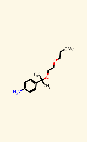 COCCOCCOC(C)(c1ccc(N)cc1)C(F)(F)F